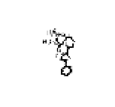 C[C@H](C(=O)N1CCCCC1c1nc(-c2ccccc2)c[nH]1)N(C)C